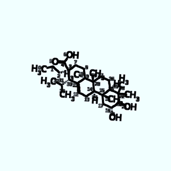 CCC[C@]1(C(=O)O)CC[C@]2(C)C(=CC[C@@H]3[C@@]4(C)C[C@@H](O)[C@H](O)C(C)(C)[C@@H]4CC[C@]32C)[C@@H]1C(C)C